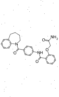 NC(=O)COc1ccccc1C(=O)Nc1ccc(C(=O)N2CCCCc3ccccc32)cc1